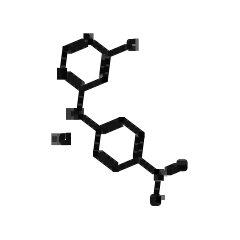 Cl.O=[N+]([O-])c1ccc(Nc2cc(Cl)ncn2)cc1